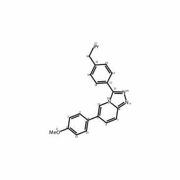 COc1ccc(-c2ccc3nnc(-c4ccc(CC(C)C)cc4)n3c2)cc1